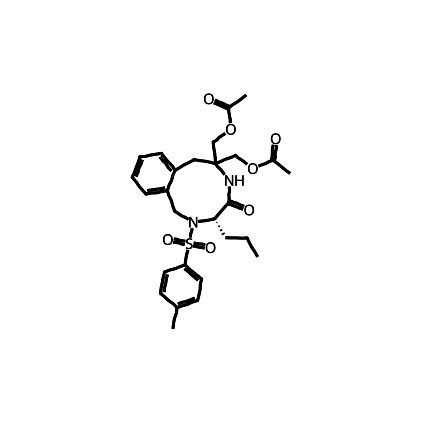 CCC[C@H]1C(=O)NC(COC(C)=O)(COC(C)=O)Cc2ccccc2CN1S(=O)(=O)c1ccc(C)cc1